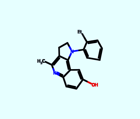 CCc1ccccc1N1CCc2c(C)nc3ccc(O)cc3c21